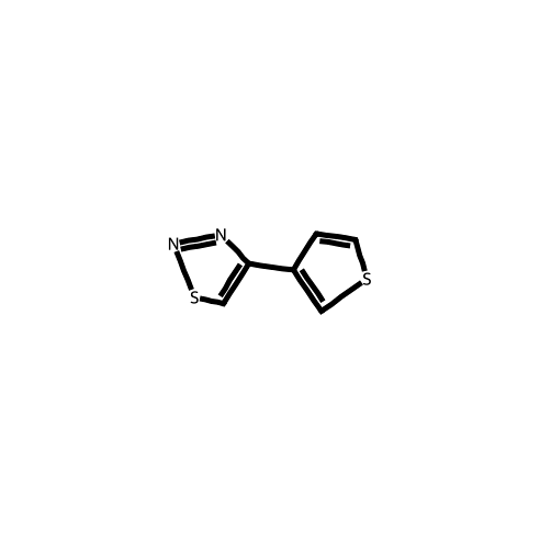 c1cc(-c2csnn2)cs1